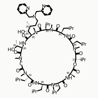 CC(C)C[C@@H]1C(=O)N[C@H](CC(C)C)C(=O)N(C)[C@H](C(C)C)C(=O)N(C)[C@H]([C@H](O)[C@H](C)CCN(Cc2ccccn2)Cc2ccccn2)C(=O)N[C@H]([C@@H](C)O)C(=O)N(C)CC(=O)N(C)[C@@H](CC(C)C)C(=O)N[C@H](CC(C)C)C(=O)N(C)[C@H](CC(C)C)C(=O)N[C@H](C)C(=O)O[C@@H](C(C)C)C(=O)N1C